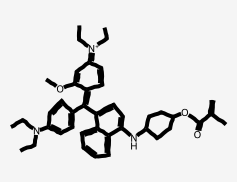 C=C(C)C(=O)OC1CCC(Nc2ccc(/C(=C3\C=CC(=[N+](CC)CC)C=C3OC)c3ccc(N(CC)CC)cc3)c3ccccc23)CC1